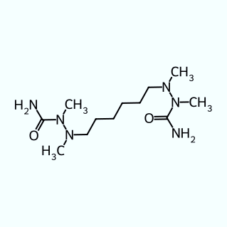 CN(CCCCCCN(C)N(C)C(N)=O)N(C)C(N)=O